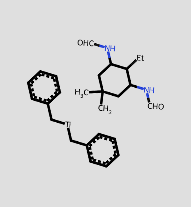 CCC1C(NC=O)CC(C)(C)CC1NC=O.c1ccc([CH2][Ti][CH2]c2ccccc2)cc1